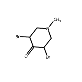 CN1CC(Br)C(=O)C(Br)C1